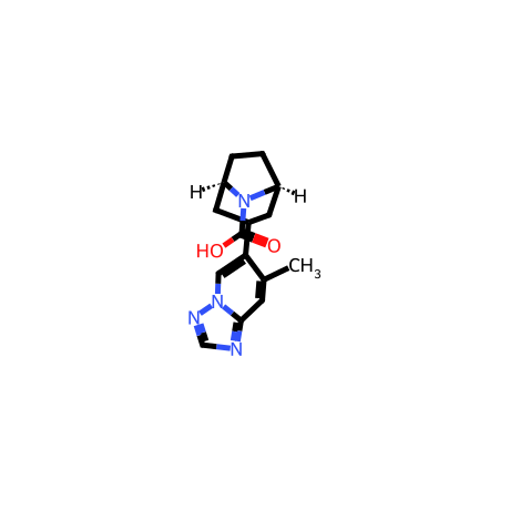 Cc1cc2ncnn2cc1C1C[C@H]2CC[C@@H](C1)N2C(=O)O